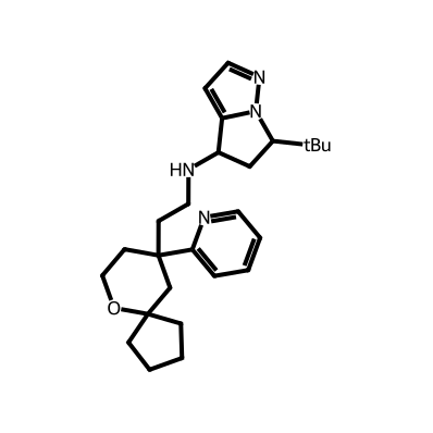 CC(C)(C)C1CC(NCCC2(c3ccccn3)CCOC3(CCCC3)C2)c2ccnn21